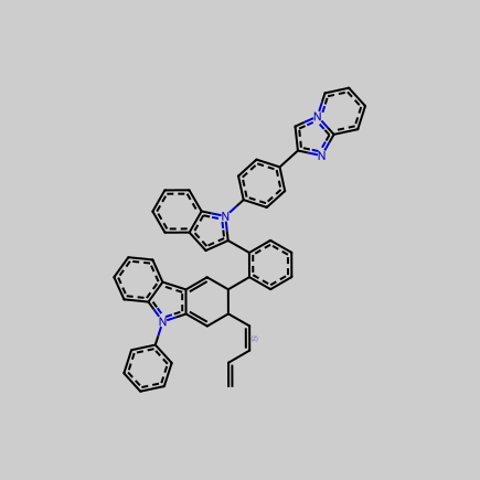 C=C/C=C\C1C=c2c(c3ccccc3n2-c2ccccc2)=CC1c1ccccc1-c1cc2ccccc2n1-c1ccc(-c2cn3ccccc3n2)cc1